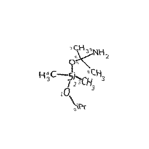 CC(C)O[Si](C)(C)OC(C)(C)N